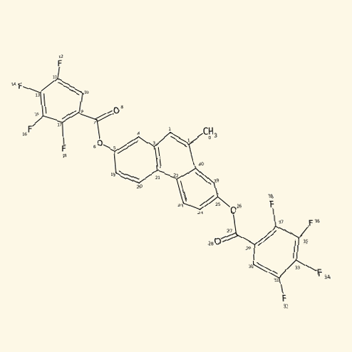 Cc1cc2cc(OC(=O)c3cc(F)c(F)c(F)c3F)ccc2c2ccc(OC(=O)c3cc(F)c(F)c(F)c3F)cc12